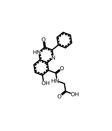 O=C(O)CNC(=O)c1c(O)ccc2[nH]c(=O)c(-c3ccccc3)nc12